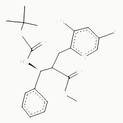 COC(=O)C(Cc1ncc(F)cc1N)[C@H](NC(=O)OC(C)(C)C)c1ccccc1